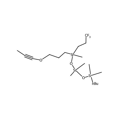 CC#COCCC[Si](C)(CCC(F)(F)F)O[Si](C)(C)O[Si](C)(C)CCCC